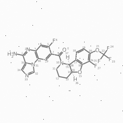 Nc1nc2cc(F)c(C(=O)N3CCC[C@@H]4Oc5c(ccc(OC(F)(F)F)c5F)[C@@H]43)cc2n2cncc12